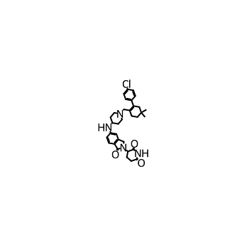 CC1(C)CCC(CN2CCC(Nc3ccc4c(c3)CN(C3CCC(=O)NC3=O)C4=O)CC2)=C(c2ccc(Cl)cc2)C1